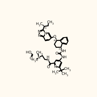 CC[C@H](C)c1nnc2ccc(O[C@@H]3CC[C@H](NC(=O)Nc4cc(C(=O)NCCN(C)C)nc(C(C)(C)C)c4)c4ccccc43)cn12.O=CO